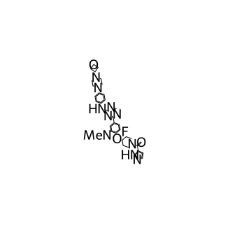 CNc1cc(-c2ncnc(Nc3ccc(N4CCN(C5COC5)CC4)cc3)n2)ccc1O[C@H]1CCN(C(=O)c2ccn[nH]2)C[C@H]1F